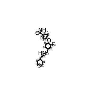 NC(=O)c1ccc(Oc2ccc(CNCCC3CCOCC3)cc2F)cn1